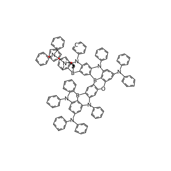 c1ccc(N(c2ccccc2)c2cc3c4c(c2)N(c2ccccc2)c2cc5c(cc2B4c2cc4c(cc2O3)N(c2ccccc2)c2cc(N(c3ccccc3)c3ccccc3)cc3c2B4c2ccccc2N3c2ccccc2)B2c3ccccc3N(c3ccccc3)c3cc(N(c4ccccc4)c4ccccc4)cc(c32)N5c2ccccc2)cc1